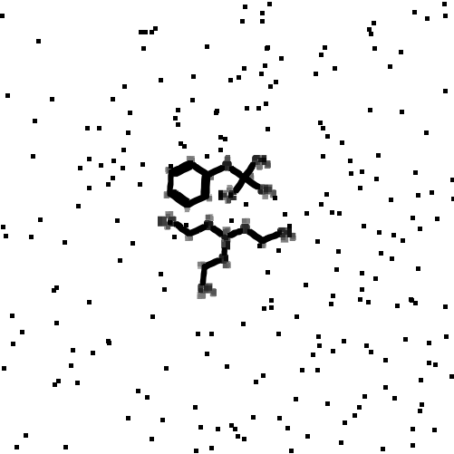 CC(C)(C)Oc1ccccc1.CCO[SiH](OCC)OCC